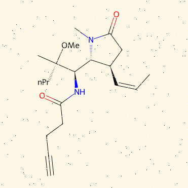 C#CCCC(=O)N[C@H]([C@H]1[C@H](/C=C\C)CC(=O)N1C)[C@](C)(CCC)OC